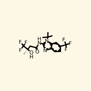 CC(C)(C)n1c(NC(=O)C[C@@](C)(O)C(F)(F)F)nc2ccc(C(F)(F)F)cc21